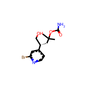 CC(C)(C[C@@H](CO)c1ccnc(Br)c1)OC(N)=O